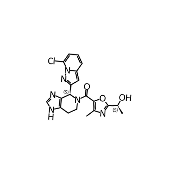 Cc1nc([C@H](C)O)oc1C(=O)N1CCc2[nH]cnc2[C@H]1c1cc2cccc(Cl)n2n1